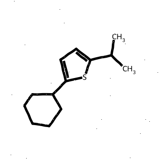 CC(C)c1ccc(C2CCCCC2)s1